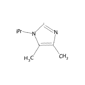 Cc1n[c]n(C(C)C)c1C